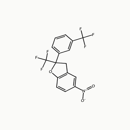 O=[N+]([O-])c1ccc2c(c1)CC(c1cccc(C(F)(F)F)c1)(C(F)(F)F)O2